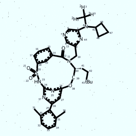 [2H]C([2H])([2H])N(c1cncc(CN2C(=O)c3cccc(c3)S(=O)(=O)Nc3nc(cc(-c4c(C)cccc4C)n3)OC[C@H]2CCC(C)(C)C)n1)C1CCC1